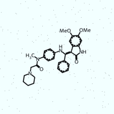 COc1cc2c(cc1OC)C(=C(Nc1ccc(N(C)C(=O)CN3CCCCC3)cc1)c1ccccc1)C(=O)N2